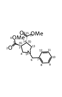 COC(=O)[C@@H]1CN(Cc2ccccc2)C[C@H]1C(=O)OC